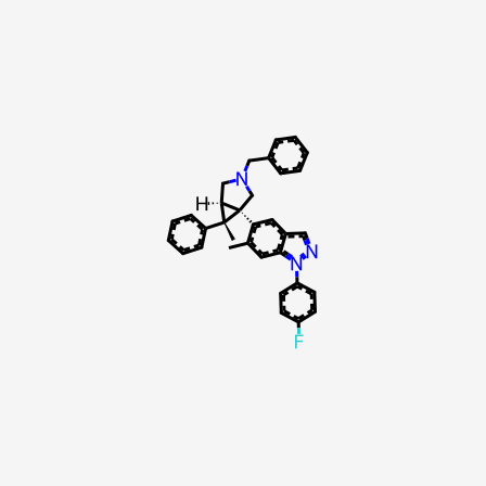 Cc1cc2c(cnn2-c2ccc(F)cc2)cc1[C@@]12CN(Cc3ccccc3)C[C@@H]1[C@@]2(C)c1ccccc1